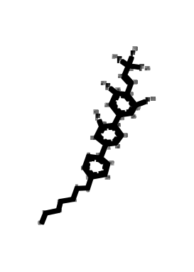 CCCCCCCc1ccc(-c2ccc(-c3cc(F)c(/C=C/C(F)(F)F)c(F)c3)c(F)c2)cc1